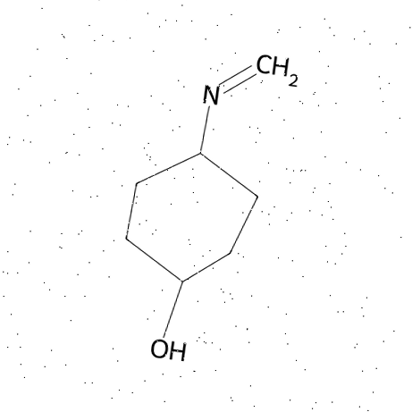 C=NC1CCC(O)CC1